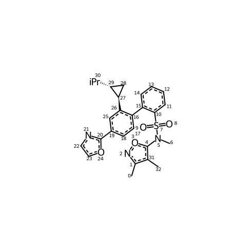 Cc1noc(N(C)S(=O)(=O)c2ccccc2-c2ccc(-c3ncco3)cc2[C@@H]2C[C@H]2C(C)C)c1C